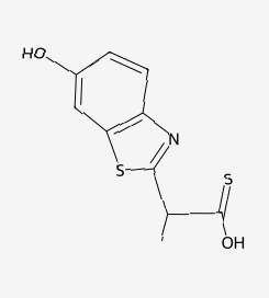 CC(C(O)=S)c1nc2ccc(O)cc2s1